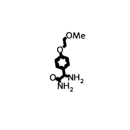 COCCOc1ccc(C(N)C(N)=O)cc1